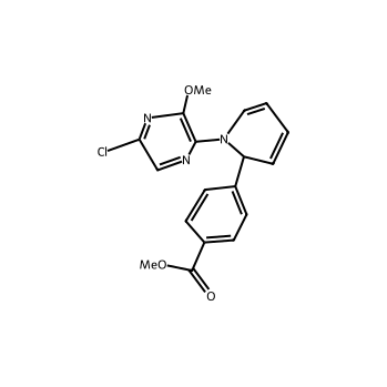 COC(=O)c1ccc(C2C=CC=CN2c2ncc(Cl)nc2OC)cc1